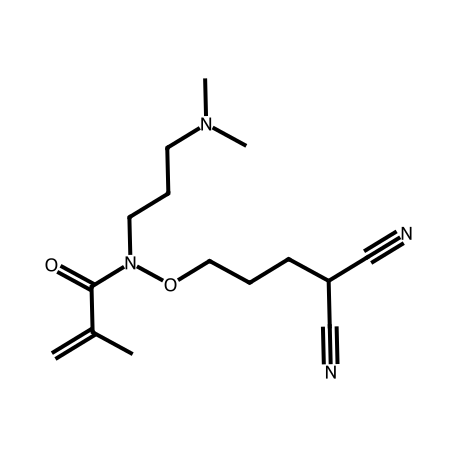 C=C(C)C(=O)N(CCCN(C)C)OCCCC(C#N)C#N